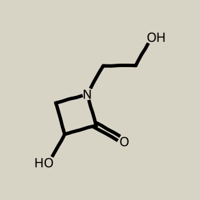 O=C1C(O)CN1CCO